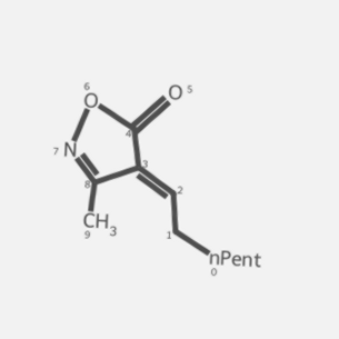 CCCCCCC=C1C(=O)ON=C1C